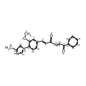 COc1cc(C=CC(=O)NCC(=O)c2ccccc2)ccc1-n1cnc(C)c1